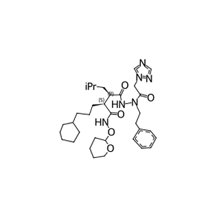 CC(C)C[C@@H](C(=O)NN(CCc1ccccc1)C(=O)Cn1cncn1)[C@H](CCCC1CCCCC1)C(=O)NOC1CCCCO1